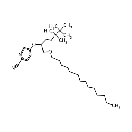 CCCCCCCCCCCCCCOC[C@H](CC[Si](C)(C)C(C)(C)C)Oc1ccc(C#N)nc1